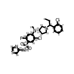 CCC(c1ccccc1Cl)N1CC[C@H](N(C)c2cc(F)c(S(=O)(=O)Nc3cscn3)cc2Cl)C1